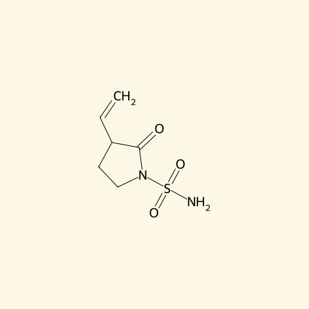 C=CC1CCN(S(N)(=O)=O)C1=O